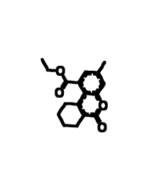 CCOC(=O)c1cc(C)cc2oc(=O)c3c(c12)CCCC3